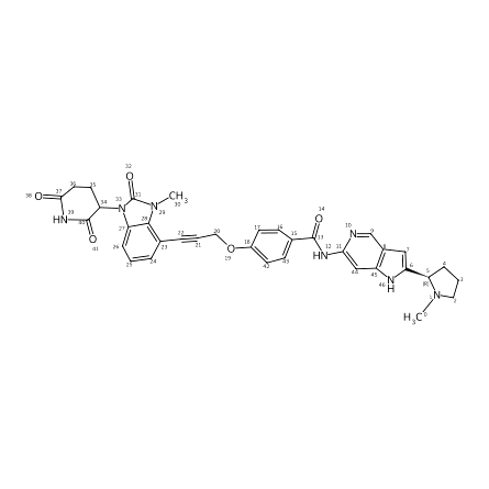 CN1CCC[C@@H]1c1cc2cnc(NC(=O)c3ccc(OCC#Cc4cccc5c4n(C)c(=O)n5C4CCC(=O)NC4=O)cc3)cc2[nH]1